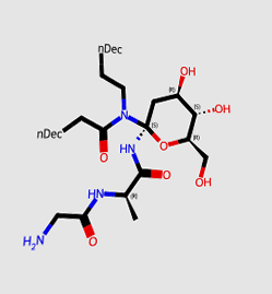 CCCCCCCCCCCCN(C(=O)CCCCCCCCCCC)[C@@]1(NC(=O)[C@@H](C)NC(=O)CN)C[C@@H](O)[C@H](O)[C@@H](CO)O1